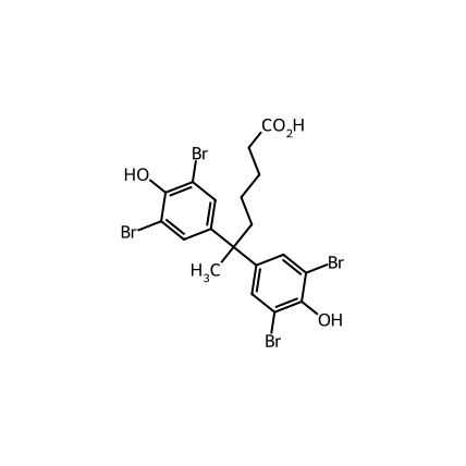 CC(CCCCC(=O)O)(c1cc(Br)c(O)c(Br)c1)c1cc(Br)c(O)c(Br)c1